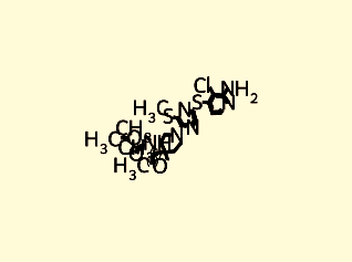 CSc1nc(Sc2ccnc(N)c2Cl)cnc1N1CCC2(CC1)CO[C@@H](C)[C@H]2NC(=O)OC(C)(C)C